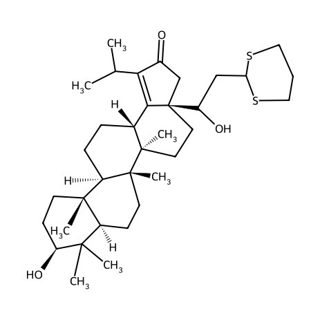 CC(C)C1=C2[C@H]3CC[C@@H]4[C@@]5(C)CC[C@H](O)C(C)(C)[C@@H]5CC[C@@]4(C)[C@]3(C)CC[C@@]2(C(O)CC2SCCCS2)CC1=O